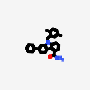 Cc1ccc(C)c(Cn2c3cc(-c4ccccc4)c[c]c3c3c(C(N)=O)cccc32)c1